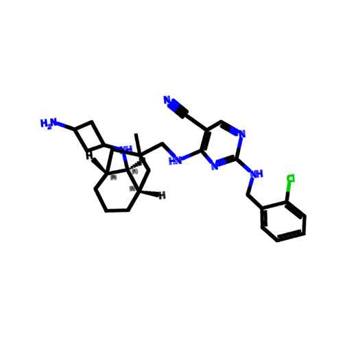 CC1(CNc2nc(NCc3ccccc3Cl)ncc2C#N)C[C@H]2CCC[C@@H](C1)[C@@H]2NC1CC(N)C1